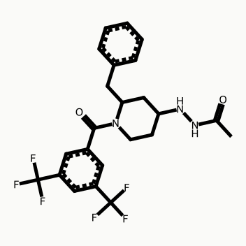 CC(=O)NNC1CCN(C(=O)c2cc(C(F)(F)F)cc(C(F)(F)F)c2)C(Cc2ccccc2)C1